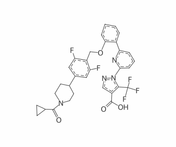 O=C(O)c1cnn(-c2cccc(-c3ccccc3OCc3c(F)cc(C4CCN(C(=O)C5CC5)CC4)cc3F)n2)c1C(F)(F)F